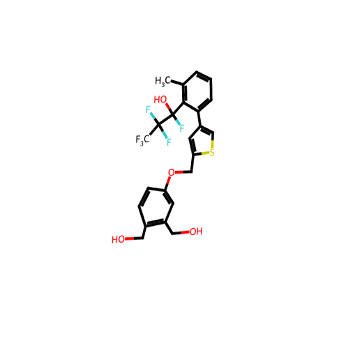 Cc1cccc(-c2csc(COc3ccc(CO)c(CO)c3)c2)c1C(O)(F)C(F)(F)C(F)(F)F